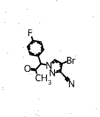 CC(=O)C(c1ccc(F)cc1)n1cc(Br)c(C#N)n1